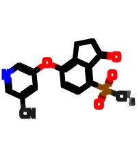 N#Cc1cncc(Oc2ccc(S(=O)(=O)C(F)(F)F)c3c2CCC3=O)c1